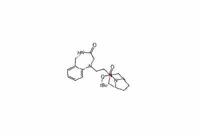 CC(C)(C)OC(=O)N1C2CCC1CN(CCN1CC(=O)NCc3ccccc31)C2